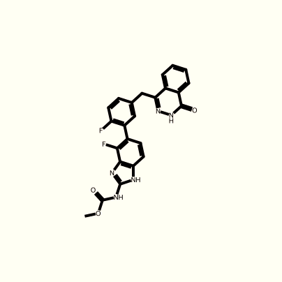 COC(=O)Nc1nc2c(F)c(-c3cc(Cc4n[nH]c(=O)c5ccccc45)ccc3F)ccc2[nH]1